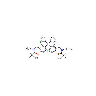 CCCCCCN(Cc1ccc(F)[c]([Ti]([C]2=CC=CC2)([C]2=CC=CC2)[c]2c(F)ccc(CN(CCCCCC)C(=O)C(C)(C)CCC)c2F)c1F)C(=O)C(C)(C)CCC